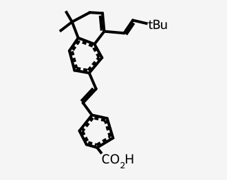 CC(C)(C)C=CC1=CCC(C)(C)c2ccc(C=Cc3ccc(C(=O)O)cc3)cc21